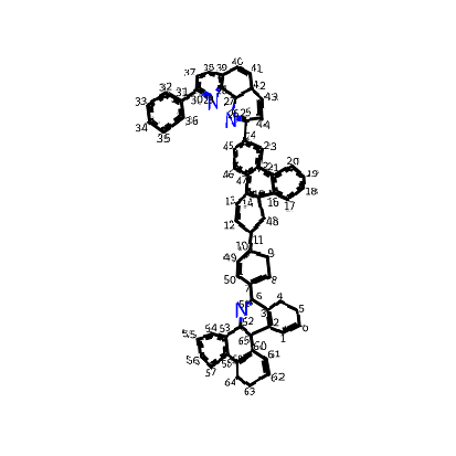 C1=CC2=C(CC1)C(C1=CCC(C3C=Cc4c(c5ccccc5c5cc(C6=NC7c8nc(-c9ccccc9)ccc8C=CC7C=C6)ccc45)C3)C=C1)=NC1c3ccccc3C3=C(C=CCC3)C21